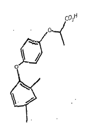 Cc1ccc(Oc2ccc(OC(C)C(=O)O)cc2)c(C)c1